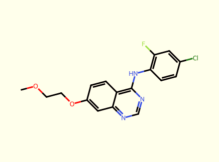 COCCOc1ccc2c(Nc3ccc(Cl)cc3F)ncnc2c1